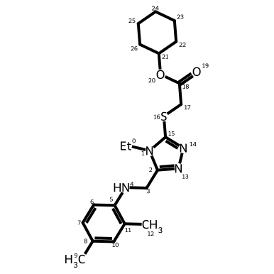 CCn1c(CNc2ccc(C)cc2C)nnc1SCC(=O)OC1CCCCC1